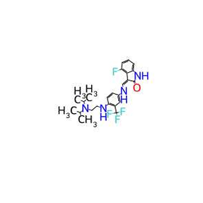 CC(C)N(CCNc1ccc(NC=C2C(=O)Nc3cccc(F)c32)cc1C(F)(F)F)C(C)C